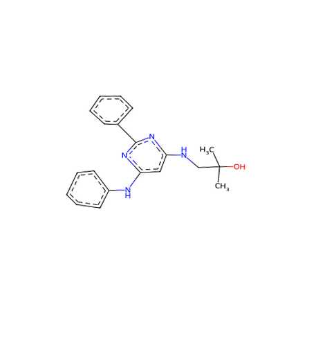 CC(C)(O)CNc1cc(Nc2ccccc2)nc(-c2ccccc2)n1